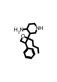 CCCCC1(C2CNCCC2N)OCC1c1ccccc1